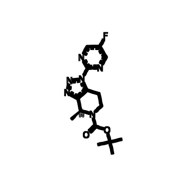 C[C@H]1c2nnn(-c3ncc(F)cn3)c2CCN1C(=O)OC(C)(C)C